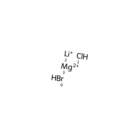 Br.Cl.[Li+].[Mg+2]